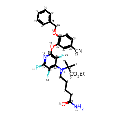 CCOC(=O)C(C)(C)N(CCCCC(N)=O)c1c(F)c(F)nc(Oc2cc(C#N)ccc2OCc2ccccc2)c1F